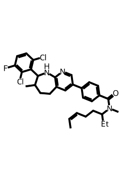 C/C=C\CCC(CC)N(C)C(=O)c1ccc(-c2cnc3c(c2)CCC(C)C(c2c(Cl)ccc(F)c2Cl)N3)cc1